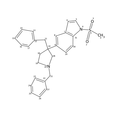 CS(=O)(=O)n1ccc2cc(C3(Cc4ccccc4)CCN(Cc4ccccc4)C3)ccc21